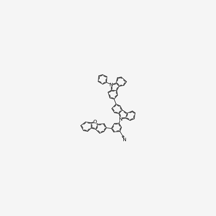 N#Cc1cc(-c2ccc3c(c2)oc2ccccc23)cc(-n2c3ccccc3c3cc(-c4ccc5c(c4)c4ccccc4n5-c4ccccc4)ccc32)c1